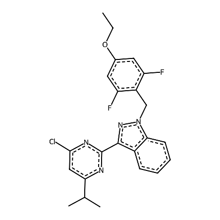 CCOc1cc(F)c(Cn2nc(-c3nc(Cl)cc(C(C)C)n3)c3ccccc32)c(F)c1